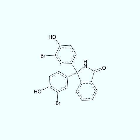 O=C1NC(c2ccc(O)c(Br)c2)(c2ccc(O)c(Br)c2)c2ccccc21